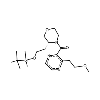 COCCc1nccnc1C(=O)N1CCOC[C@H]1CCO[Si](C)(C)C(C)(C)C